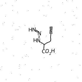 C#CCC(NN=N)C(=O)O